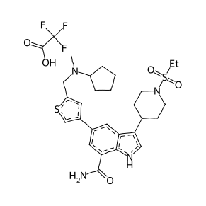 CCS(=O)(=O)N1CCC(c2c[nH]c3c(C(N)=O)cc(-c4csc(CN(C)C5CCCC5)c4)cc23)CC1.O=C(O)C(F)(F)F